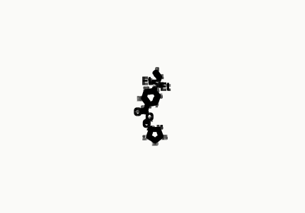 C=C[Si](CC)(CC)c1ccc(C(=O)OO[C]2CCCC2)cc1